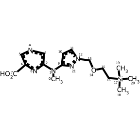 CN(c1cncc(C(=O)O)n1)c1ccn(COCC[Si](C)(C)C)n1